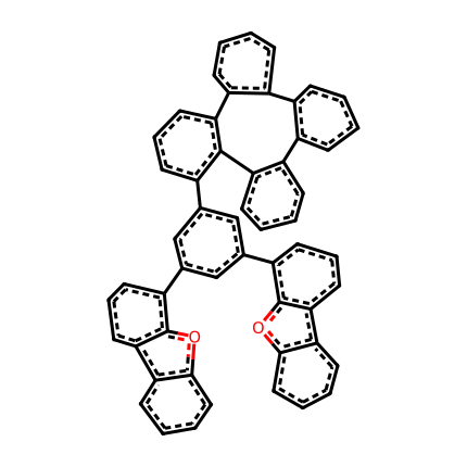 c1ccc2c(c1)-c1ccccc1-c1cccc(-c3cc(-c4cccc5c4oc4ccccc45)cc(-c4cccc5c4oc4ccccc45)c3)c1-c1ccccc1-2